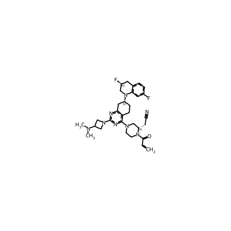 C=CC(=O)N1CCN(c2nc(N3CC(N(C)C)C3)nc3c2CC[C@H](N2C[C@@H](F)Cc4ccc(F)cc42)C3)C[C@@H]1CC#N